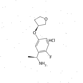 C[C@H](N)c1cc(O[C@H]2CCOC2)ccc1F.Cl